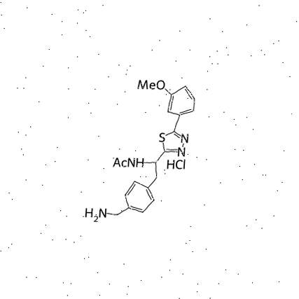 COc1cccc(-c2nnc(C(Cc3ccc(CN)cc3)NC(C)=O)s2)c1.Cl